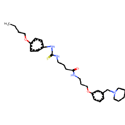 CCCCOc1ccc(NC(=S)NCCCC(=O)NCCCOc2cccc(CN3CCCCC3)c2)cc1